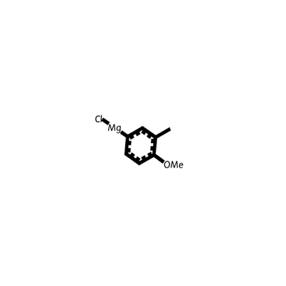 COc1cc[c]([Mg][Cl])cc1C